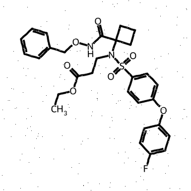 CCOC(=O)CCN(C1(C(=O)NOCc2ccccc2)CCC1)S(=O)(=O)c1ccc(Oc2ccc(F)cc2)cc1